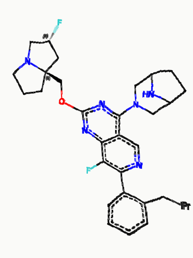 CC(C)Cc1ccccc1-c1ncc2c(N3CC4CCC(C3)N4)nc(OC[C@@]34CCCN3C[C@H](F)C4)nc2c1F